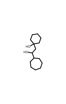 O[C](CC1(O)CCCCC1)C1CCCCCC1